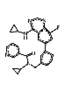 O=C(c1cccnc1)N(Cc1cccc(-c2cc(F)c3ncnc(NC4CC4)c3c2)c1)C1CC1